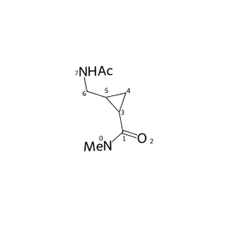 CNC(=O)C1CC1CNC(C)=O